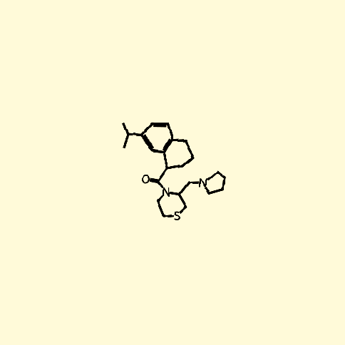 CC(C)c1ccc2c(c1)C(C(=O)N1CCSCC1CN1CCCC1)CCC2